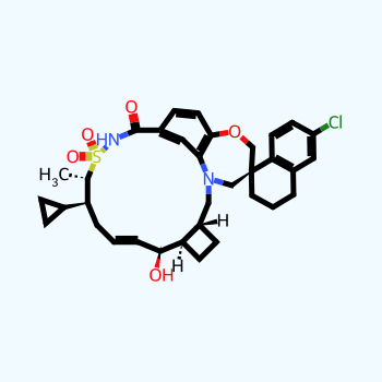 C[C@H]1[C@H](C2CC2)C/C=C/[C@H](O)[C@@H]2CC[C@H]2CN2C[C@@]3(CCCc4cc(Cl)ccc43)COc3ccc(cc32)C(=O)NS1(=O)=O